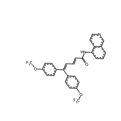 O=C(/C=C/C=C(c1ccc(OC(F)(F)F)cc1)c1ccc(OC(F)(F)F)cc1)Nc1cccc2cnccc12